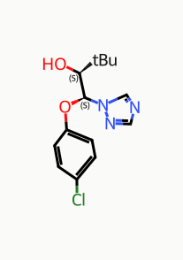 CC(C)(C)[C@H](O)[C@H](Oc1ccc(Cl)cc1)n1cncn1